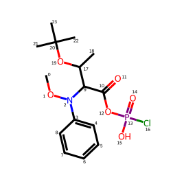 CON(c1ccccc1)C(C(=O)OP(=O)(O)Cl)C(C)OC(C)(C)C